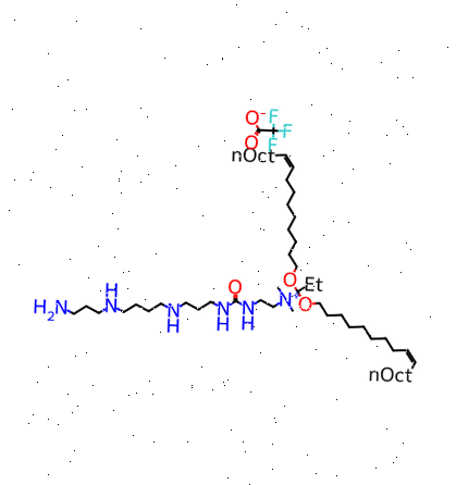 CCCCCCCC/C=C\CCCCCCCCOC(CC)(OCCCCCCCC/C=C\CCCCCCCC)[N+](C)(C)CCNC(=O)NCCCNCCCCNCCCN.O=C([O-])C(F)(F)F